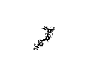 Cc1cn(-c2cc(NC(=O)c3cc(C#Cc4cnc5c(Nc6cnn(C)c6)cccn45)c(C)cc3F)cc(C(F)(F)F)c2)cn1